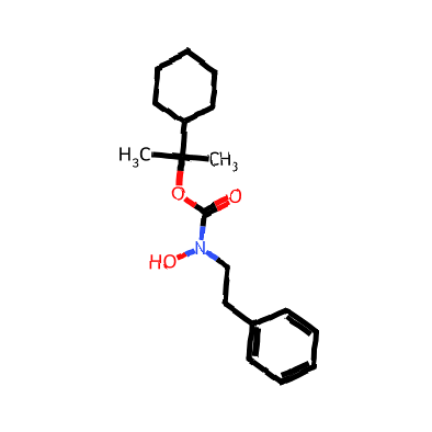 CC(C)(OC(=O)N(O)CCc1ccccc1)C1CCCCC1